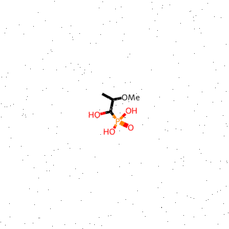 COC(C)C(O)P(=O)(O)O